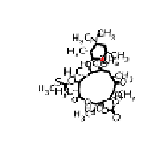 CC[C@H]1OC(=O)[C@H](C)[C@@H](OC(=S)SC)[C@H](C)[C@@H](O[C@@H]2O[C@H](C)C[C@H](N(C)C)[C@H]2C)[C@](C)(OC)C[C@@H](C)C(=O)[C@H](C)[C@H]2OC(=O)O[C@@]21C